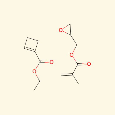 C=C(C)C(=O)OCC1CO1.CCOC(=O)C1=CCC1